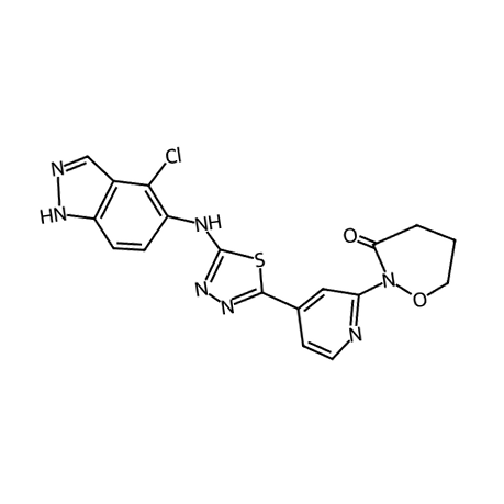 O=C1CCCON1c1cc(-c2nnc(Nc3ccc4[nH]ncc4c3Cl)s2)ccn1